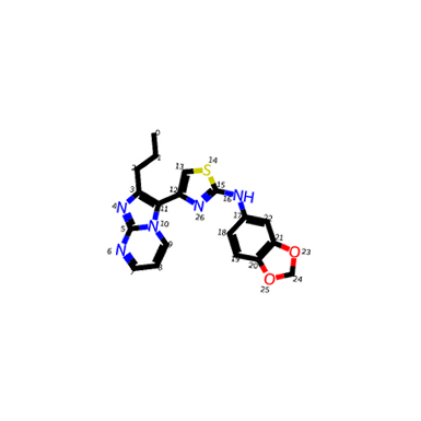 CCCc1nc2ncccn2c1-c1csc(Nc2ccc3c(c2)OCO3)n1